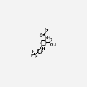 O=C(O)c1cc([SH]2C=CC(C(F)(F)F)=C2)ccc1NC(=O)C1CC1